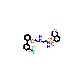 O=S(=O)(NCCNCCOc1ccccc1-c1cccc(C(F)(F)F)c1)c1cccc2cnccc12